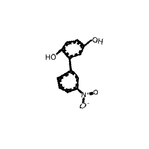 O=[N+]([O-])c1cccc(-c2cc(O)ccc2O)c1